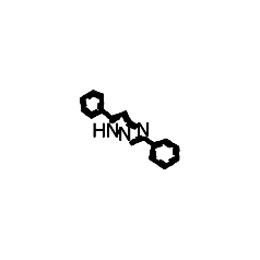 c1ccc(-c2cn3[nH]c(-c4ccccc4)cc3n2)cc1